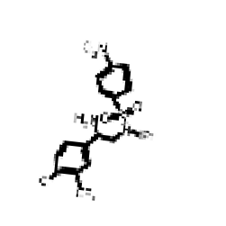 CC(C)N(C[C@H](N)c1ccc(Cl)c(C(F)(F)F)c1)S(=O)(=O)c1ccc([N+](=O)[O-])cc1